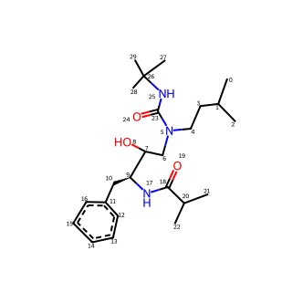 CC(C)CCN(CC(O)[C@H](Cc1ccccc1)NC(=O)C(C)C)C(=O)NC(C)(C)C